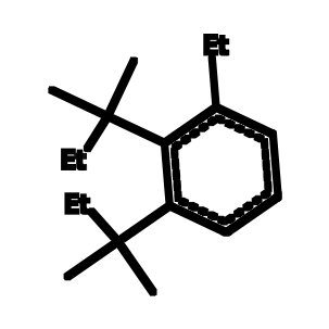 [CH2]Cc1cccc(C(C)(C)CC)c1C(C)(C)CC